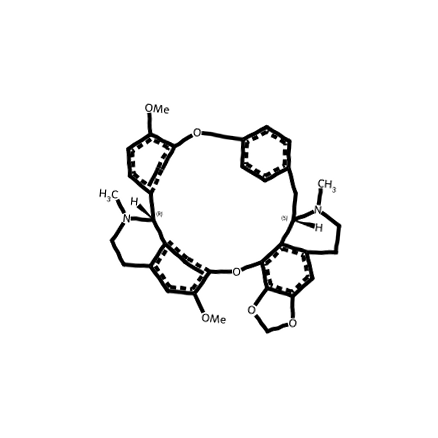 COc1ccc2cc1Oc1ccc(cc1)C[C@H]1c3c(cc4c(c3Oc3cc5c(cc3OC)CCN(C)[C@H]25)OCO4)CCN1C